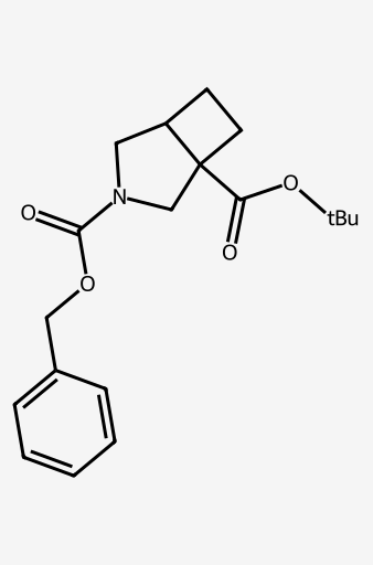 CC(C)(C)OC(=O)C12CCC1CN(C(=O)OCc1ccccc1)C2